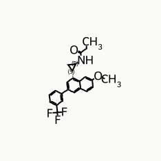 CCC(=O)N[C@@H]1C[C@H]1c1cc(-c2cccc(C(F)(F)F)c2)cc2ccc(OC)cc12